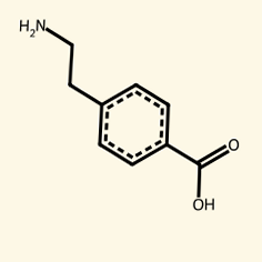 NCCc1ccc(C(=O)O)cc1